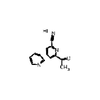 CC(=O)c1cccc(C#N)n1.I.c1ccncc1